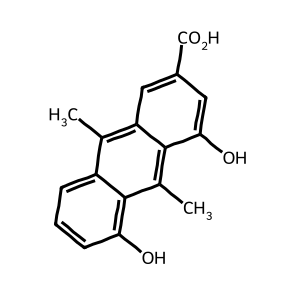 Cc1c2cccc(O)c2c(C)c2c(O)cc(C(=O)O)cc12